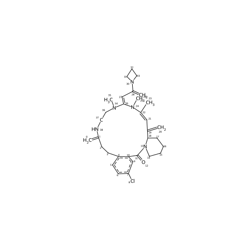 C=C1CCc2ccc(Cl)cc2C(=O)N2CCCCC2C(=C)/C=C(/C)N(C)/C(=C\C(=C)N2CCC2)N(C)CCN1